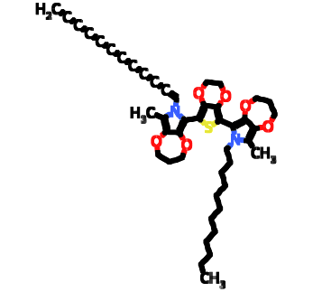 C=C=C=C=C=C=C=C=C=C=C=Cn1c(C)c2c(c1-c1sc(-c3c4c(c(C)n3CCCCCCCCCCCC)OCCCO4)c3c1OCCO3)OCCCO2